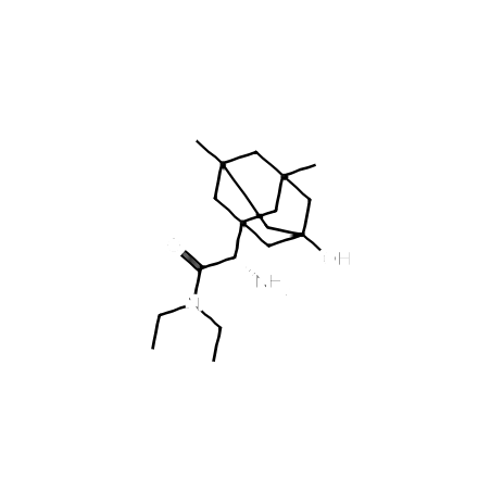 CCN(CC)C(=O)[C@@H](N)C12CC3(C)CC(C)(CC(O)(C3)C1)C2